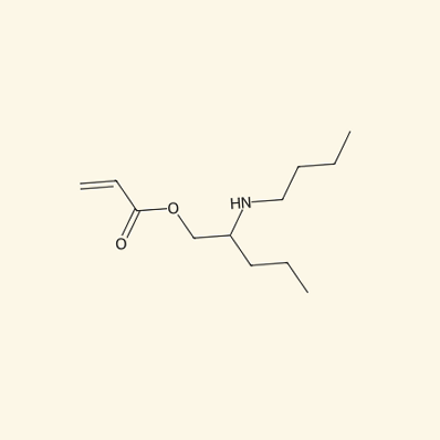 C=CC(=O)OCC(CCC)NCCCC